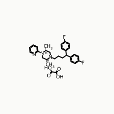 C[C@@H]1CN(CCCC(c2ccc(F)cc2)c2ccc(F)cc2)[C@@H](C)CN1c1ccccn1.O=C(O)C(=O)O